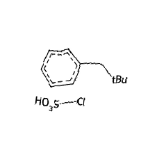 CC(C)(C)Cc1ccccc1.O=S(=O)(O)Cl